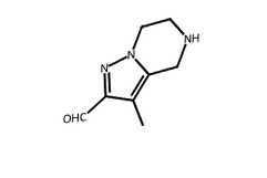 Cc1c(C=O)nn2c1CNCC2